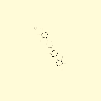 CCOc1ccc(-c2ccc(C3CCC(c4ccc(OC)c(F)c4F)CC3)c(F)c2F)c(F)c1F